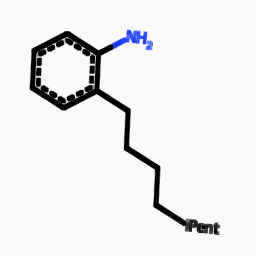 CCCC(C)CCCCc1ccccc1N